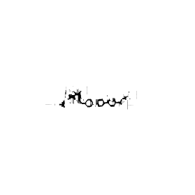 COCOC(C)c1ccc(-c2ccc(N3CCC(Cc4nc(C)c(O)c(C(=O)NCC(=O)O)n4)CC3)cc2)nc1